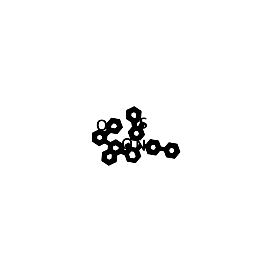 C1=C(N(c2ccc(-c3ccccc3)cc2)c2ccc3c(c2)sc2ccccc23)c2oc3cc(-c4cccc5oc6ccccc6c45)c4ccccc4c3c2CC1